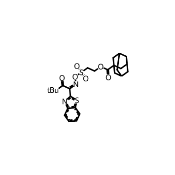 CC(C)(C)C(=O)/C(=N\OS(=O)(=O)CCOC(=O)C12CC3CC(CC(C3)C1)C2)c1nc2ccccc2s1